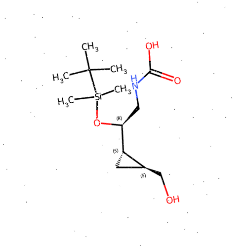 CC(C)(C)[Si](C)(C)O[C@@H](CNC(=O)O)[C@H]1C[C@@H]1CO